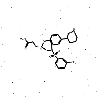 COC(=O)CC[C@H]1CN(S(=O)(=O)c2cccc(C(F)(F)F)c2)c2cc(C3CCCNC3)ccc2O1